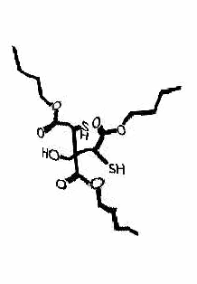 CCCCOC(=O)C(S)C(O)(C(=O)OCCCC)C(S)C(=O)OCCCC